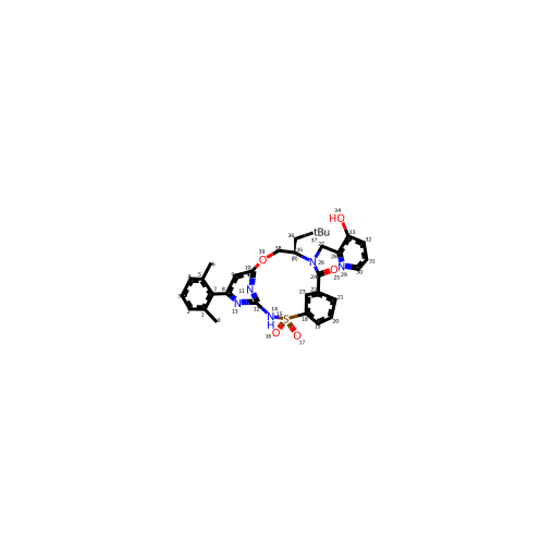 Cc1cccc(C)c1-c1cc2nc(n1)NS(=O)(=O)c1cccc(c1)C(=O)N(Cc1ncccc1O)[C@H](CC(C)(C)C)CO2